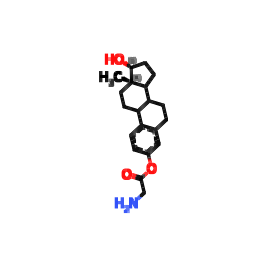 C[C@]12CCC3c4ccc(OC(=O)CN)cc4CCC3C1CC[C@@H]2O